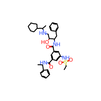 CCS(=O)(=O)Nc1cc(C(=O)NC(C)c2ccccc2)cc(C(=O)NC(Cc2ccccc2)C(O)CNC(C)C2CCCCC2)c1